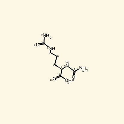 NC(=O)NCCC[C@@H](NC(N)=O)C(=O)O